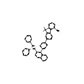 CC1(C)c2cc(-c3ccc(-c4c(C5=[N+](c6ccccc6)C(c6ccccc6)=N5)ccc5ccccc45)cc3)ccc2-c2c(C#N)cccc21